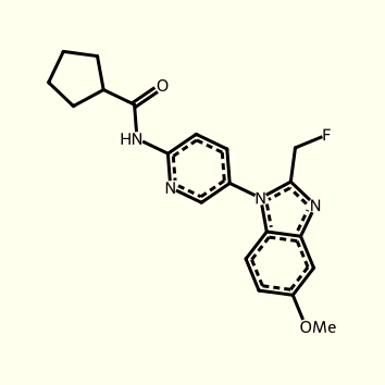 COc1ccc2c(c1)nc(CF)n2-c1ccc(NC(=O)C2CCCC2)nc1